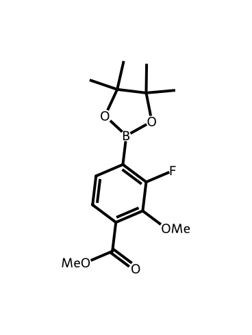 COC(=O)c1ccc(B2OC(C)(C)C(C)(C)O2)c(F)c1OC